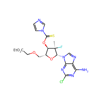 CCOC(=O)COC[C@H]1O[C@@H](n2cnc3c(N)nc(Cl)nc32)[C@](C)(F)[C@@H]1OC(=S)n1ccnc1